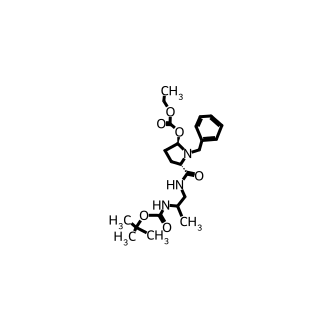 CCOC(=O)O[C@@H]1CC[C@@H](C(=O)NCC(C)NC(=O)OC(C)(C)C)N1Cc1ccccc1